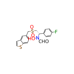 O=CN(O)[C@H](CS(=O)(=O)Cc1ccc2sccc2c1)c1ccc(F)cc1